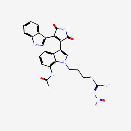 CC(=O)Nc1cccc2c(C3=C(c4c[nH]c5ccccc45)C(=O)NC3=O)cn(CCCNC(N)=N[N+](=O)[O-])c12